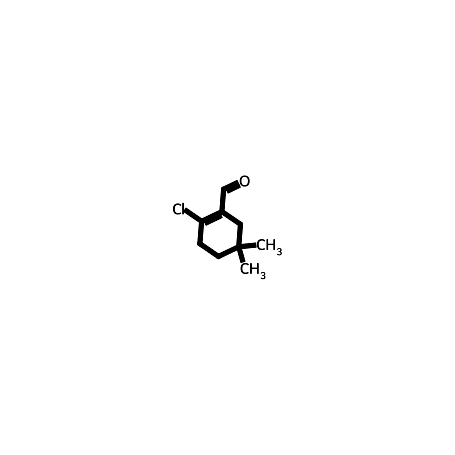 CC1(C)CCC(Cl)=C(C=O)C1